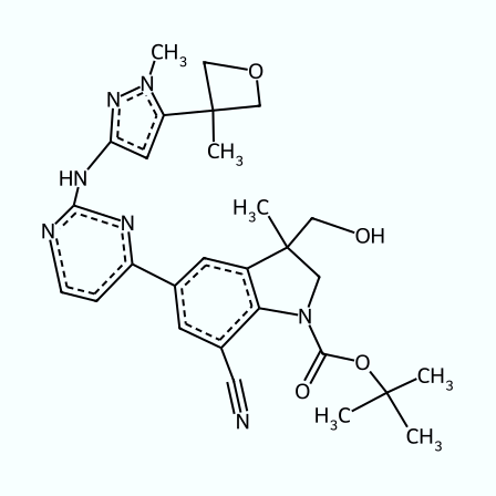 Cn1nc(Nc2nccc(-c3cc(C#N)c4c(c3)C(C)(CO)CN4C(=O)OC(C)(C)C)n2)cc1C1(C)COC1